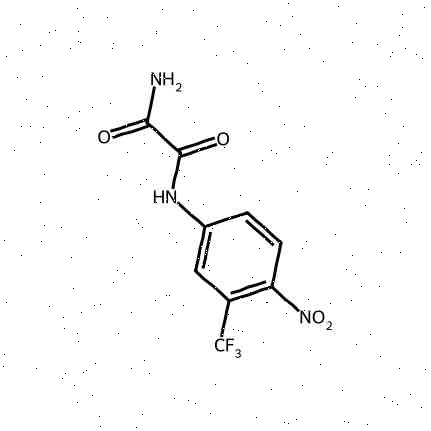 NC(=O)C(=O)Nc1ccc([N+](=O)[O-])c(C(F)(F)F)c1